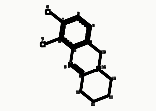 Clc1ccc2c(c1Cl)N=C1CCCCN1C2